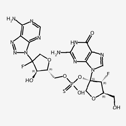 Nc1nc2c(ncn2[C@]2(OP(O)(=S)OC[C@H]3OCC(F)(n4nnc5c(N)ncnc54)[C@@H]3O)CO[C@H](CO)[C@H]2F)c(=O)[nH]1